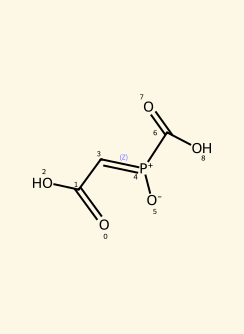 O=C(O)/C=[P+](\[O-])C(=O)O